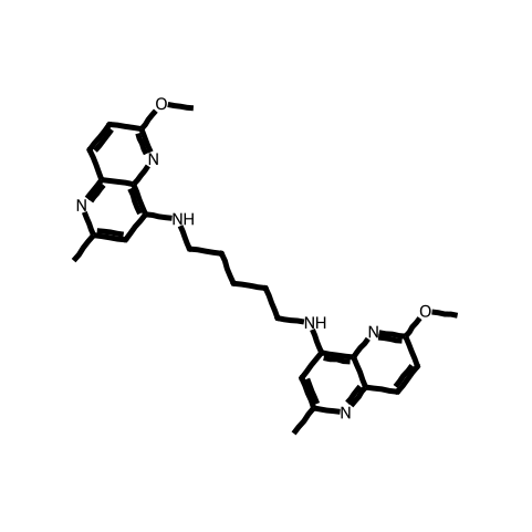 COc1ccc2nc(C)cc(NCCCCCNc3cc(C)nc4ccc(OC)nc34)c2n1